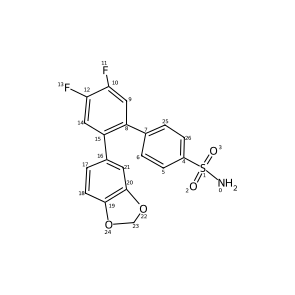 NS(=O)(=O)c1ccc(-c2cc(F)c(F)cc2-c2ccc3c(c2)OCO3)cc1